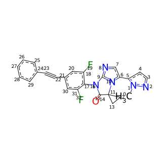 Cn1nccc1-c1cnc2n1C1(CC1)C(=O)N2c1c(F)cc(C#Cc2ccccc2)cc1F